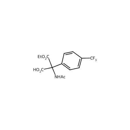 CCOC(=O)C(NC(C)=O)(C(=O)O)c1ccc(C(F)(F)F)cc1